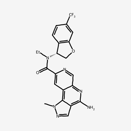 CCN(C(=O)c1cc2c(cn1)nc(N)c1cnn(C)c12)[C@H]1COc2cc(C(F)(F)F)ccc21